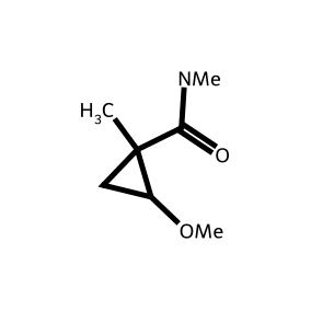 CNC(=O)C1(C)CC1OC